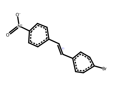 O=[N+]([O-])c1ccc(/C=C/c2ccc(Br)cc2)cc1